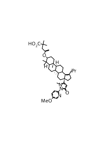 C=C(CC(C)(C)C(=O)O)O[C@H]1CC[C@]2(C)[C@H]3CCC4C5=C(C(C)C)CC[C@]5(c5cc(=O)n(-c6ccc(OC)cn6)n5C)CC[C@@]4(C)[C@@]3(C)CC[C@H]2C1(C)C